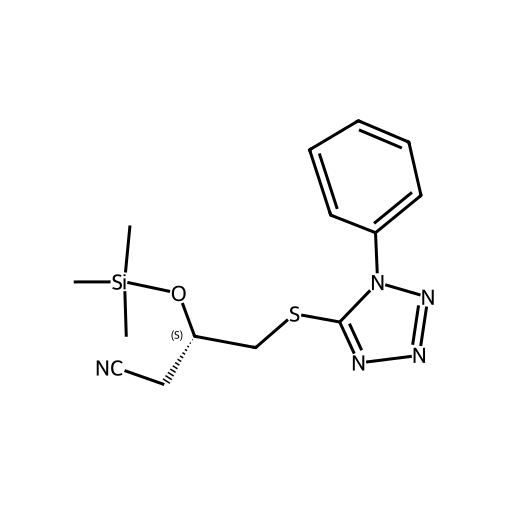 C[Si](C)(C)O[C@@H](CC#N)CSc1nnnn1-c1ccccc1